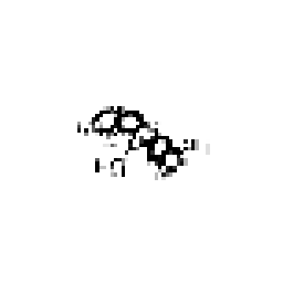 COc1cc2ncnc(O)c2cc1OC1CCC2(CC1)NCCNC2=O.Cl